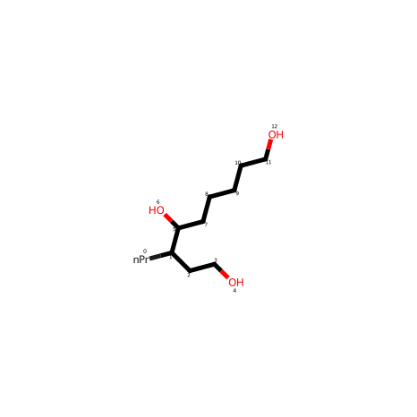 CCCC(CCO)C(O)CCCCCO